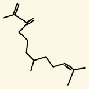 C=C(C)C(=C)CCCC(C)CCC=C(C)C